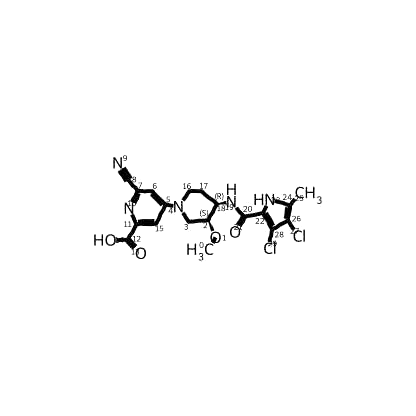 CO[C@H]1CN(c2cc(C#N)nc(C(=O)O)c2)CC[C@H]1NC(=O)c1[nH]c(C)c(Cl)c1Cl